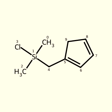 C[Si](C)(Cl)CC1=CC=CC1